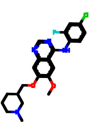 COc1cc2c(Nc3ccc(Cl)cc3F)ncnc2cc1OCC1CCCN(C)C1